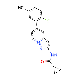 N#Cc1ccc(F)c(-c2ccn3nc(NC(=O)C4CC4)cc3c2)c1